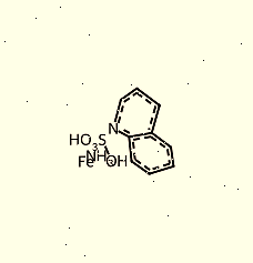 N.O=S(=O)(O)O.[Fe].c1ccc2ncccc2c1